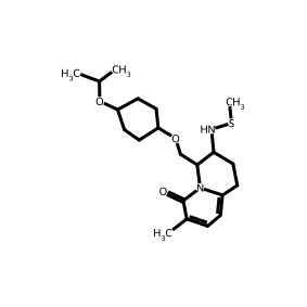 CSNC1CCc2ccc(C)c(=O)n2C1COC1CCC(OC(C)C)CC1